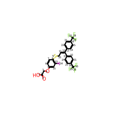 O=C(O)COc1ccc(SCC=C(c2ccc(C(F)(F)F)cc2)c2ccc(C(F)(F)F)cc2)c(I)c1